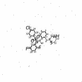 C[C@H](c1ccccc1CC1CNCCS1)N(c1cc(F)ccc1F)S(=O)(=O)c1ccc(Cl)cc1